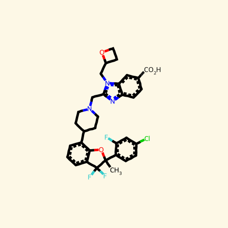 CC1(c2ccc(Cl)cc2F)Oc2c(C3CCN(Cc4nc5ccc(C(=O)O)cc5n4CC4CCO4)CC3)cccc2C1(F)F